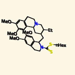 CCCCCCSC(=S)N1CCc2cc(OC)c(OC)cc2C1CC1CC2c3cc(OC)c(OC)cc3CCN2CC1CC